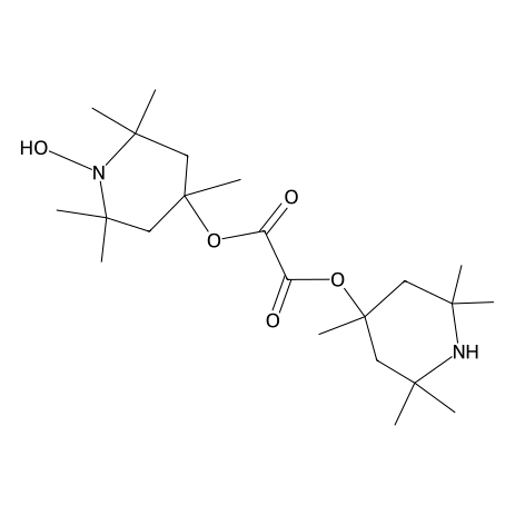 CC1(C)CC(C)(OC(=O)C(=O)OC2(C)CC(C)(C)N(O)C(C)(C)C2)CC(C)(C)N1